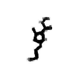 Cc1cc(CC=CN)sc1C(=O)OC(C)(C)C